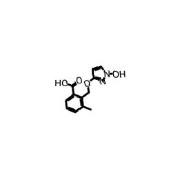 Cc1cccc(C(=O)O)c1COc1ccn(O)n1